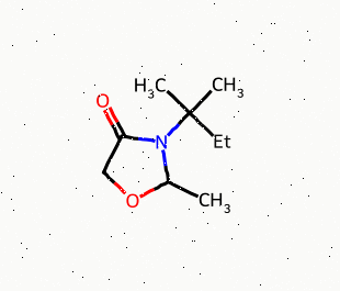 CCC(C)(C)N1C(=O)COC1C